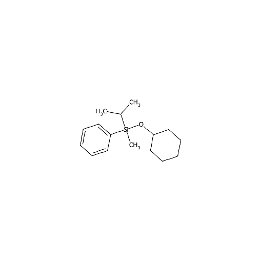 CC(C)[Si](C)(OC1CCCCC1)c1ccccc1